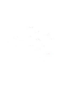 CCCC(OC)C(=O)Oc1c(OCC)cc(O)c2cc(-c3ccccc3)ccc12